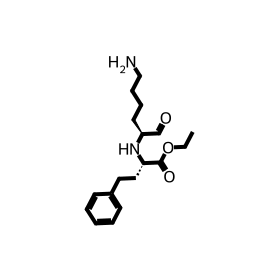 CCOC(=O)[C@H](CCc1ccccc1)N[C@H](C=O)CCCCN